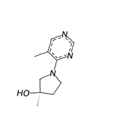 Cc1cncnc1N1CC[C@@](C)(O)C1